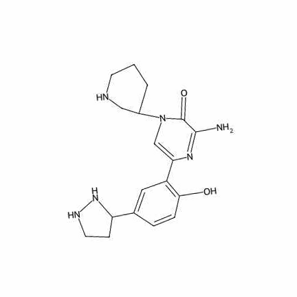 Nc1nc(-c2cc(C3CCNN3)ccc2O)cn(C2CCCNC2)c1=O